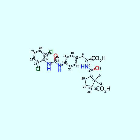 CC1(C)[C@@H](C(=O)N[C@@H](Cc2ccc(NC(=O)Nc3c(Cl)cccc3Cl)cc2)C(=O)O)CC[C@@]1(C)C(=O)O